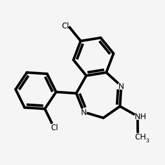 CNC1=Nc2ccc(Cl)cc2C(c2ccccc2Cl)=NC1